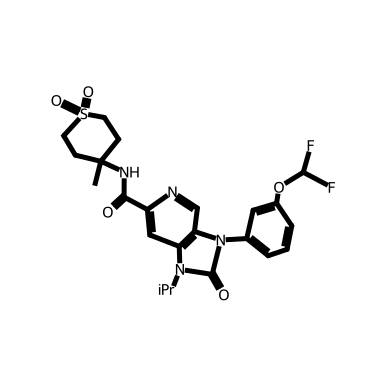 CC(C)n1c(=O)n(-c2cccc(OC(F)F)c2)c2cnc(C(=O)NC3(C)CCS(=O)(=O)CC3)cc21